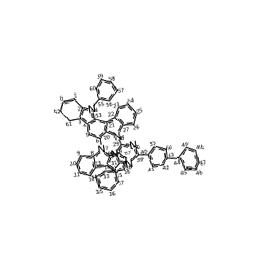 C1=Cc2c(c3cc(-n4c5ccccc5c5ccccc54)c4c(c5ccccc5n4-c4nc(-c5ccccc5)nc(-c5ccc(-c6ccccc6)cc5)n4)c3n2-c2ccccc2)CC1